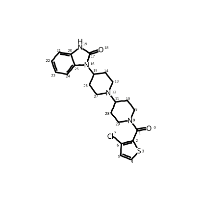 O=C(c1sccc1Cl)N1CCC(N2CCC(n3c(=O)[nH]c4ccccc43)CC2)CC1